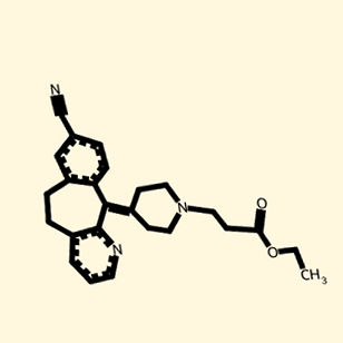 CCOC(=O)CCN1CCC(=C2c3ccc(C#N)cc3CCc3cccnc32)CC1